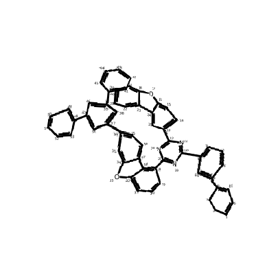 C1=CCCC(c2cccc(-c3nc(-c4ccc5oc6ccccc6c5c4)nc(-c4cccc5oc6cc(-c7cc(-c8ccccc8)cc(-c8ccccc8)c7)ccc6c45)n3)c2)=C1